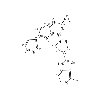 Cc1cccc(NC(=O)N2CCN(c3nc(N)nc4ccc(-c5ccncc5)nc34)CC2)c1